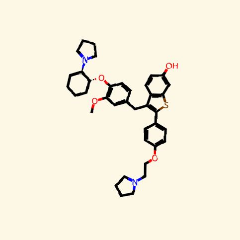 COc1cc(Cc2c(-c3ccc(OCCN4CCCC4)cc3)sc3cc(O)ccc23)ccc1O[C@@H]1CCCC[C@H]1N1CCCC1